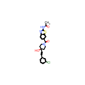 CC(=O)Nc1nc2ccc(C(=O)N3CCC(O)(C#Cc4cccc(Cl)c4)CC3)cc2s1